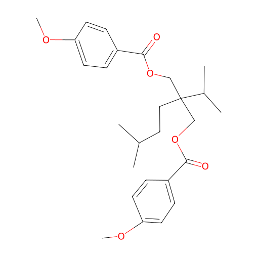 COc1ccc(C(=O)OCC(CCC(C)C)(COC(=O)c2ccc(OC)cc2)C(C)C)cc1